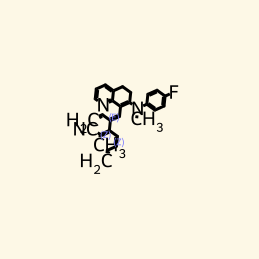 C=C\C=C/C(=C(\C)C#N)C(/C=C)=C/C1=C(N(C)c2ccc(F)cc2)CCc2cccnc21